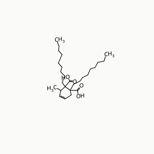 CCCCCCCCCC1(C(=O)O)CC=CC(C)C1(CCCCCCCCC)C(=O)O